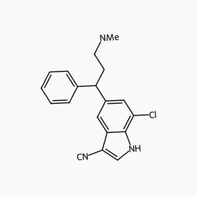 [C-]#[N+]c1c[nH]c2c(Cl)cc(C(CCNC)c3ccccc3)cc12